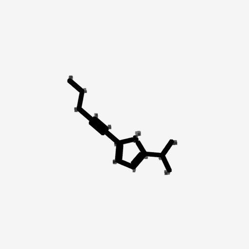 CCCC#Cc1ccc(C(C)C)s1